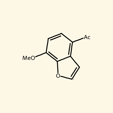 COc1ccc(C(C)=O)c2c[c]oc12